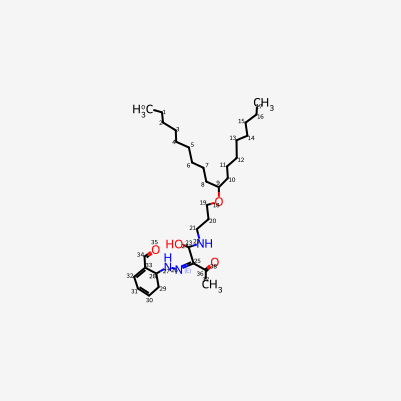 CCCCCCCCCC(CCCCCCCC)OCCCNC(O)/C(=N\NC1CC=CC=C1C=O)C(C)=O